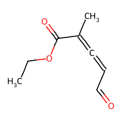 CCOC(=O)C(C)=C=CC=O